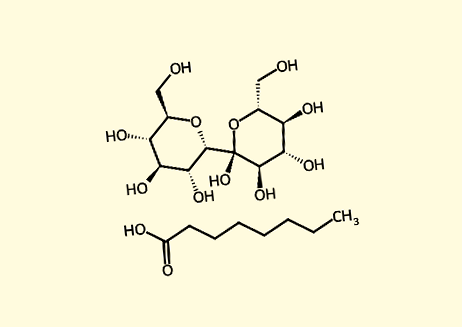 CCCCCCCC(=O)O.OC[C@H]1O[C@H]([C@]2(O)O[C@H](CO)[C@@H](O)[C@H](O)[C@H]2O)[C@H](O)[C@@H](O)[C@@H]1O